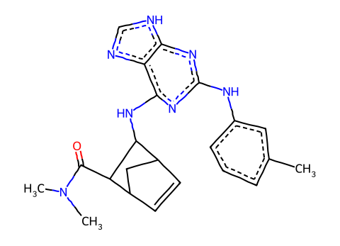 Cc1cccc(Nc2nc(NC3C4C=CC(C4)C3C(=O)N(C)C)c3nc[nH]c3n2)c1